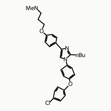 CCCCc1nc(-c2ccc(OCCCNC)cc2)cn1-c1ccc(Oc2ccc(Cl)cc2)cc1